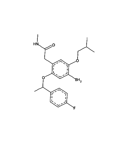 Bc1cc(OC(C)c2ccc(F)cc2)c(CC(=O)NC)cc1OCC(C)C